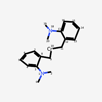 CN(C)c1ccccc1[CH2][Cr][CH2]c1ccccc1N(C)C